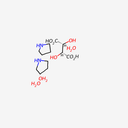 C1CCNC1.C1CCNC1.O.O.O.O=C(O)[C@H](O)[C@@H](O)C(=O)O